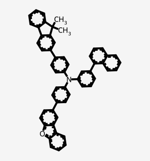 CC1(C)c2ccccc2-c2ccc(-c3ccc(N(c4ccc(-c5ccc6oc7ccccc7c6c5)cc4)c4cccc(-c5cccc6ccccc56)c4)cc3)cc21